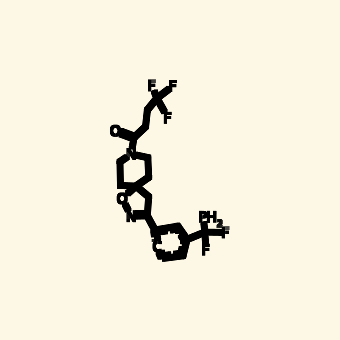 O=C(CCC(F)(F)F)N1CCC2(CC1)CC(c1cccc(C(F)(F)P)c1)=NO2